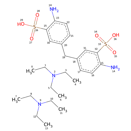 CCN(CC)CC.CCN(CC)CC.Nc1ccc(Cc2ccc(N)c(S(=O)(=O)O)c2)cc1S(=O)(=O)O